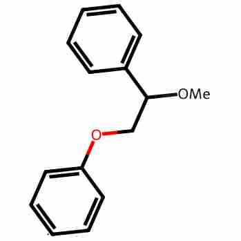 COC(COc1cc[c]cc1)c1ccccc1